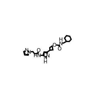 O=C(CCn1cccn1)Nc1cc(C2CC(OC(=O)NCC3CCCCC3)C2)n[nH]1